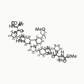 COCC(C)(C)c1ccc(N2[C@@H](c3ccc4[nH]c([C@@H]5CCCN5C(=O)[C@@H](NC(=O)OC)C(C)C)nc4c3)CC[C@@H]2c2ccc3nc(-c4cccn4C(=O)[C@@H](NC(=O)O)C(C)C)[nH]c3c2)cc1